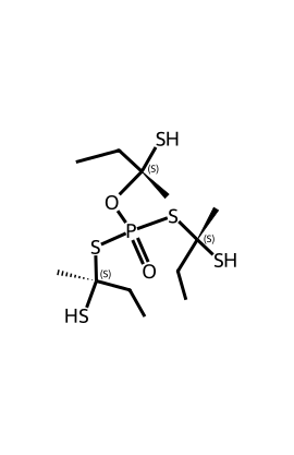 CC[C@](C)(S)OP(=O)(S[C@](C)(S)CC)S[C@](C)(S)CC